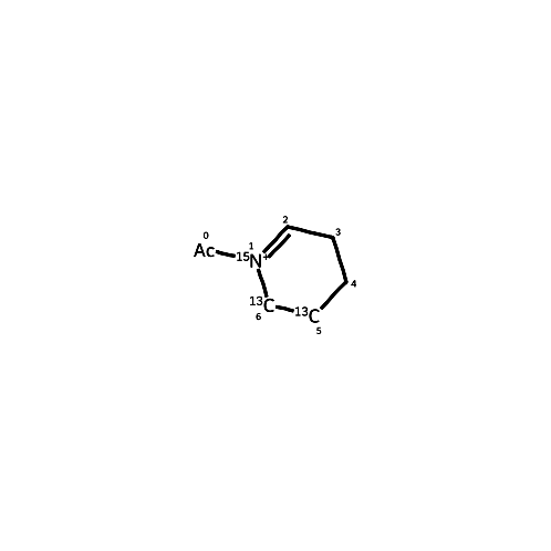 CC(=O)[15N+]1=CCC[13CH2][13CH2]1